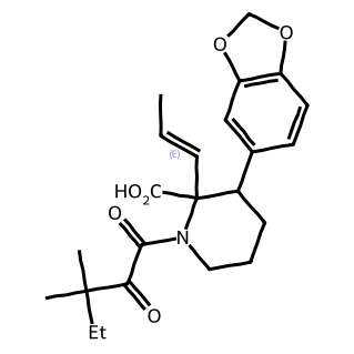 C/C=C/C1(C(=O)O)C(c2ccc3c(c2)OCO3)CCCN1C(=O)C(=O)C(C)(C)CC